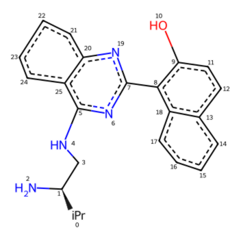 CC(C)[C@@H](N)CNc1nc(-c2c(O)ccc3ccccc23)nc2ccccc12